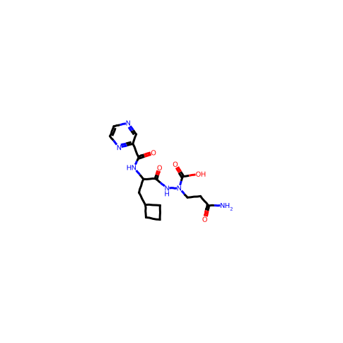 NC(=O)CCN(NC(=O)C(CC1CCC1)NC(=O)c1cnccn1)C(=O)O